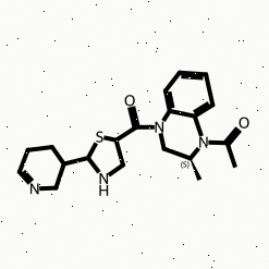 CC(=O)N1c2ccccc2N(C(=O)C2CNC(C3CCC=NC3)S2)C[C@@H]1C